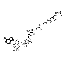 CC(=O)NCCC(O)CC(=O)SSCCNC(=O)CCNC(=O)[C@H](O)C(C)(C)COP(=O)(O)OP(=O)(O)OC[C@H]1O[C@@H](n2cnc3c(N)ncnc32)[C@H](O)[C@@H]1OP(=O)(O)O